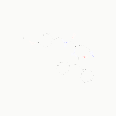 COc1ccc(CNC(=O)C(CC#N)NC(=O)C(c2ccccc2)c2ccccc2)cc1